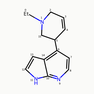 CCN1CC=CC(c2ccnc3[nH]ccc23)C1